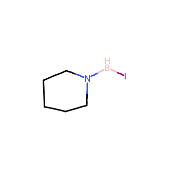 IBN1CCCCC1